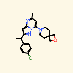 Cc1cc(N2CCC3(CC2)COC3)n2nc(C(C)c3ccc(Cl)cc3)cc2n1